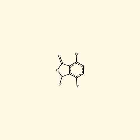 O=C1OC(Br)c2c(Br)ccc(Br)c21